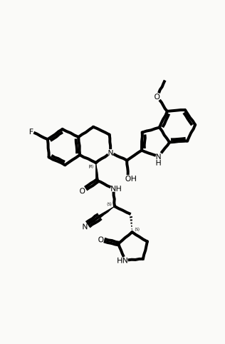 COc1cccc2[nH]c(C(O)N3CCc4cc(F)ccc4[C@@H]3C(=O)N[C@H](C#N)C[C@@H]3CCNC3=O)cc12